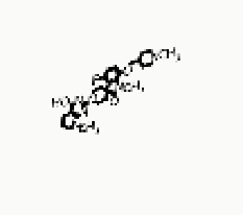 CN1CCC(COc2ccc(F)c3c2N(C)C(=O)C32CCN(c3nc(O)c4c(n3)N(C)CCC4)CC2)CC1